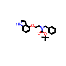 CC(C)(C)OC(=O)N(CCOc1cccc2[nH]ccc12)Cc1ccccc1